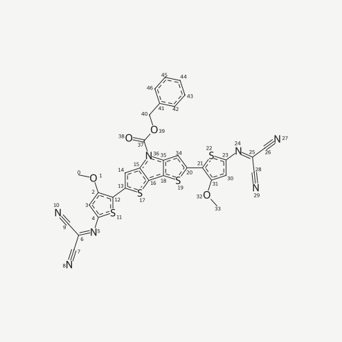 COc1cc(N=C(C#N)C#N)sc1-c1cc2c(s1)c1sc(-c3sc(N=C(C#N)C#N)cc3OC)cc1n2C(=O)OCc1ccccc1